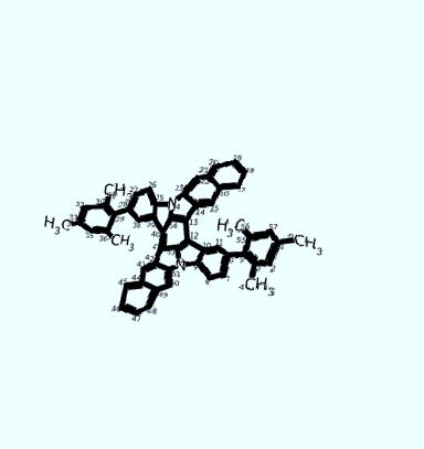 Cc1cc(C)c(-c2ccc3c(c2)c2c4c5cc6ccccc6cc5n5c6ccc(-c7c(C)cc(C)cc7C)cc6c(c6c7cc8ccccc8cc7n3c26)c45)c(C)c1